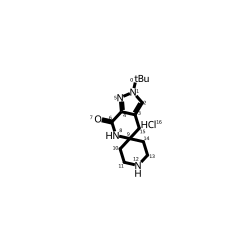 CC(C)(C)n1cc2c(n1)C(=O)NC1(CCNCC1)C2.Cl